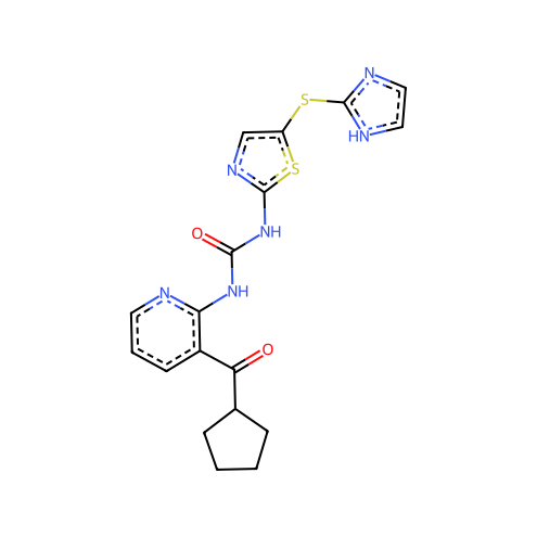 O=C(Nc1ncc(Sc2ncc[nH]2)s1)Nc1ncccc1C(=O)C1CCCC1